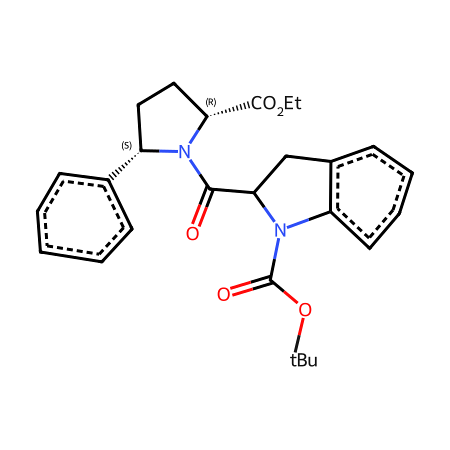 CCOC(=O)[C@H]1CC[C@@H](c2ccccc2)N1C(=O)C1Cc2ccccc2N1C(=O)OC(C)(C)C